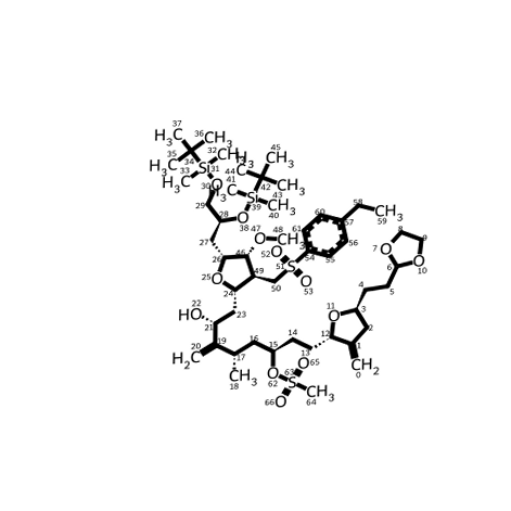 C=C1C[C@H](CCC2OCCO2)O[C@H]1CC[C@H](C[C@H](C)C(=C)[C@H](O)C[C@@H]1O[C@H](C[C@@H](CO[Si](C)(C)C(C)(C)C)O[Si](C)(C)C(C)(C)C)[C@H](OC)[C@H]1CS(=O)(=O)c1ccc(CC)cc1)OS(C)(=O)=O